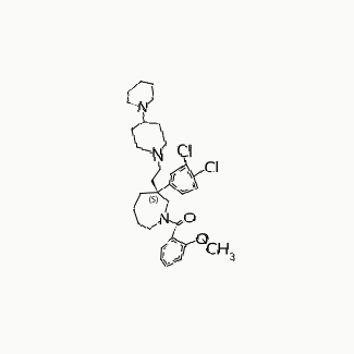 COc1ccccc1C(=O)N1CCCC[C@](CCN2CCC(N3CCCCC3)CC2)(c2ccc(Cl)c(Cl)c2)C1